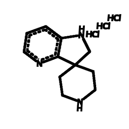 Cl.Cl.Cl.c1cnc2c(c1)NCC21CCNCC1